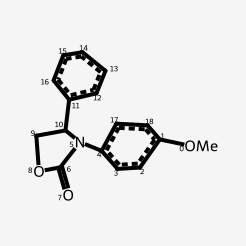 COc1ccc(N2C(=O)OCC2c2ccccc2)cc1